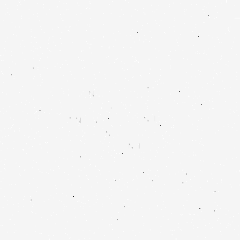 N#Cc1cc(N)c(N)nc1C#N